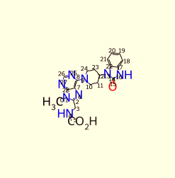 Cn1c(CNC(=O)O)nc2c(N3CCC(n4c(=O)[nH]c5ccccc54)CC3)ncnc21